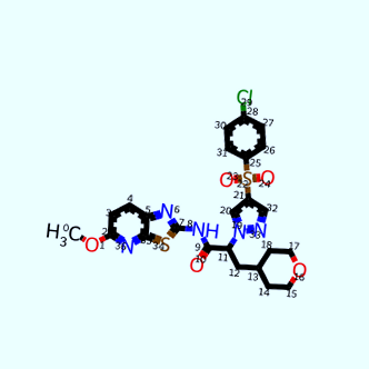 COc1ccc2nc(NC(=O)C(CC3CCOCC3)n3cc(S(=O)(=O)c4ccc(Cl)cc4)cn3)sc2n1